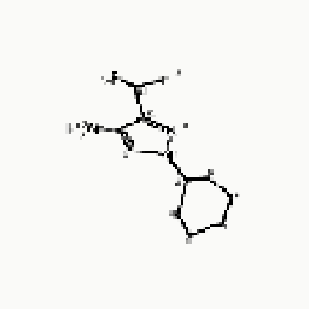 Nc1cn(C2CCCCC2)nc1C(F)F